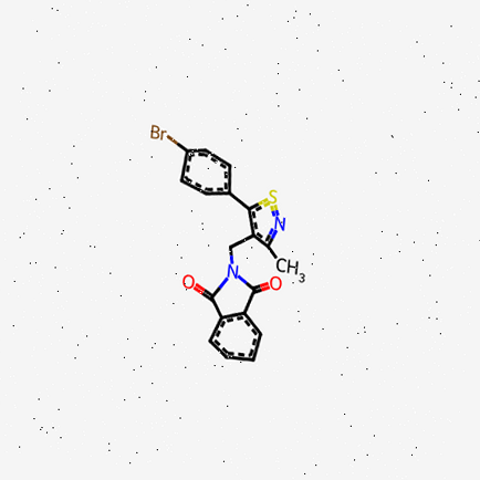 Cc1nsc(-c2ccc(Br)cc2)c1CN1C(=O)c2ccccc2C1=O